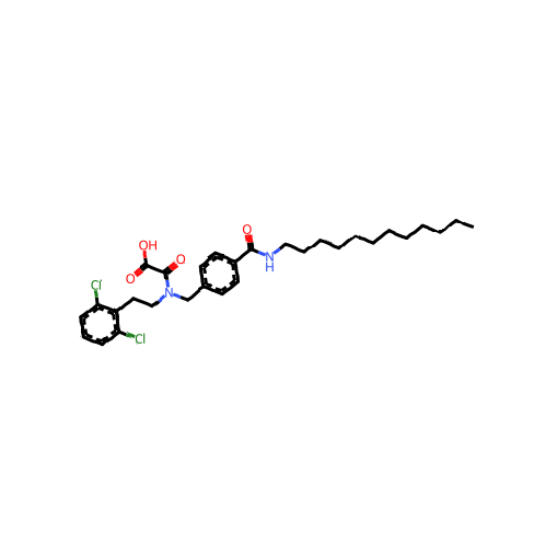 CCCCCCCCCCCCNC(=O)c1ccc(CN(CCc2c(Cl)cccc2Cl)C(=O)C(=O)O)cc1